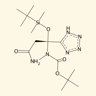 CN(C(=O)OC(C)(C)C)[C@](CC(N)=O)(O[Si](C)(C)C(C)(C)C)c1nnn[nH]1